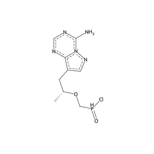 C[C@H](Cc1cnn2c(N)ncnc12)OC[PH](=O)Cl